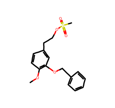 COc1ccc(CCOS(C)(=O)=O)cc1OCc1ccccc1